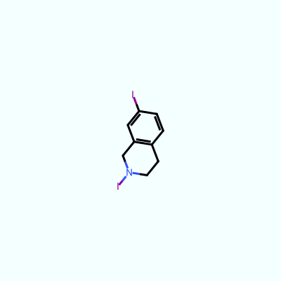 Ic1ccc2c(c1)CN(I)CC2